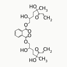 C=CC(=O)C(C)(O)CCC(O)COC(=O)c1ccccc1C(=O)OCC(O)CCC(C)(O)C(=O)C=C